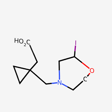 O=C(O)CC1(CN2CCOC(I)C2)CC1